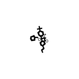 CC=Cc1ccc(C(OCc2ccccc2)(c2ccc(C(C)(C)C)cc2)C(C)(C=O)OC)cc1